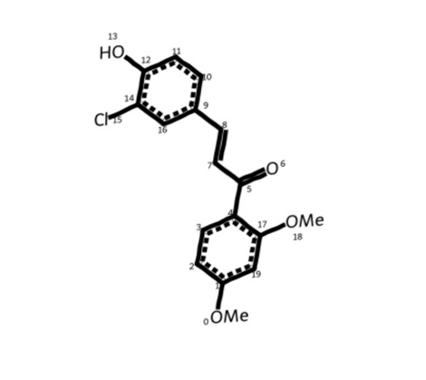 COc1ccc(C(=O)/C=C/c2ccc(O)c(Cl)c2)c(OC)c1